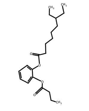 CCCC(=O)Oc1ccccc1OC(=O)CCCCCC(CC)CC